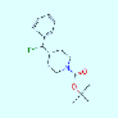 CC(C)(C)OC(=O)N1CCC(C(F)c2ccccc2)CC1